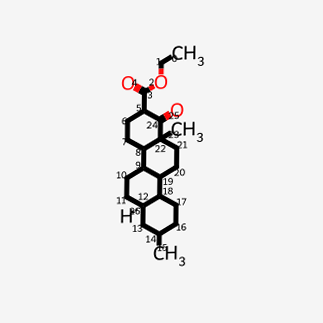 CCOC(=O)C1CCC2C3CC[C@@H]4CC(C)CCC4C3CCC2(C)C1=O